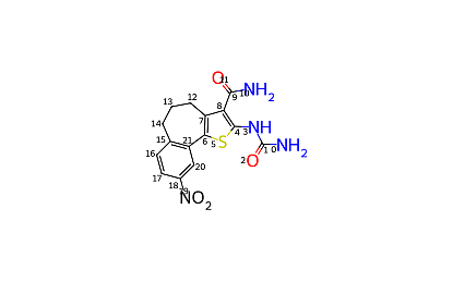 NC(=O)Nc1sc2c(c1C(N)=O)CCCc1ccc([N+](=O)[O-])cc1-2